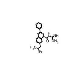 CC(C)C(C)Cc1ccc2nc(-c3ccccc3)cc(C(=O)NC(=N)N)c2c1